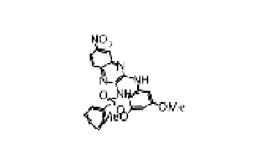 COc1cc(Nc2nc3cc([N+](=O)[O-])ccc3nc2NS(=O)(=O)c2ccccc2)cc(OC)c1